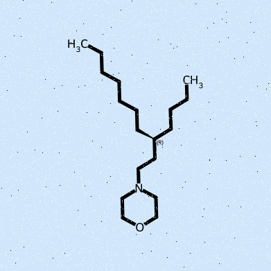 CCCCCCC[C@@H](CCCC)CCN1CCOCC1